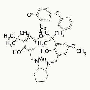 COc1cc(C=[N+]2[Mn][N+](=Cc3cc(OC)cc(C(C)(C)C)c3O)C3CCCCC32)c(O)c(C(C)(C)C)c1.[O-]c1ccc(Oc2ccccc2)cc1